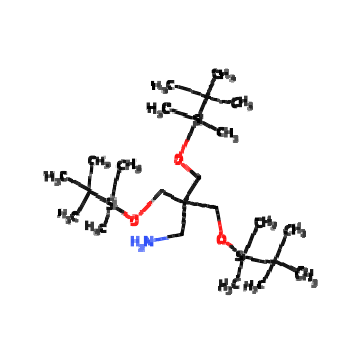 CC(C)(C)[Si](C)(C)OCC(CN)(CO[Si](C)(C)C(C)(C)C)CO[Si](C)(C)C(C)(C)C